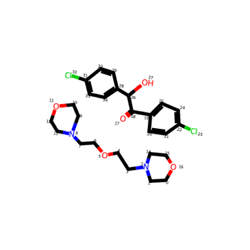 C1CN(CCOCCN2CCOCC2)CCO1.O=C(c1ccc(Cl)cc1)C(O)c1ccc(Cl)cc1